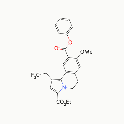 CCOC(=O)c1cc(CC(F)(F)F)c2n1CCc1cc(OC)c(C(=O)Oc3ccccc3)cc1-2